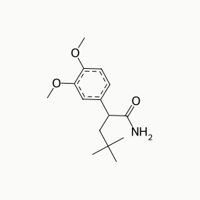 COc1ccc(C(CC(C)(C)C)C(N)=O)cc1OC